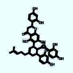 CC(C)=CCCC1=CC(c2c(O)cc3c(c2O)C(=O)CC(c2ccc(O)cc2O)O3)C(C2OC2c2ccc(O)cc2O)C(c2ccc(O)cc2O)C1